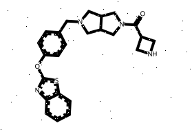 O=C(C1CNC1)N1CC2CN(Cc3ccc(Oc4nc5ccccc5s4)cc3)CC2C1